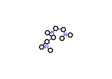 c1ccc(N(c2ccccc2)c2cccc(-c3cccc(-n4c5ccccc5c5c(-c6ccc7c8ccccc8n(-c8ccccc8)c7c6)cccc54)c3)c2)cc1